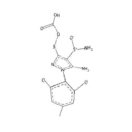 Cc1cc(Cl)c(-n2nc(SOC(=O)O)c([S+](N)[O-])c2N)c(Cl)c1